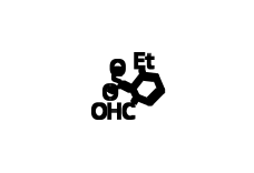 CCC1=CC=CC(C=O)C1=S(=O)=O